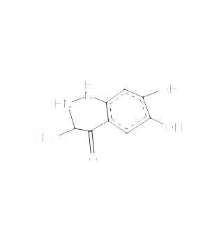 CC1NNc2cc(O)c(O)cc2C1=O